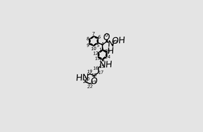 O=C(NO)C(c1ccccc1)c1ccc(NCCC2CNCCO2)cc1